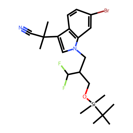 CC(C)(C#N)c1cn(CC(CO[Si](C)(C)C(C)(C)C)C(F)F)c2cc(Br)ccc12